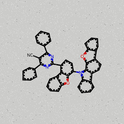 N#Cc1c(-c2ccccc2)nc(-c2ccc(-n3c4ccccc4c4ccc5c6ccccc6oc5c43)c3oc4ccccc4c23)nc1-c1ccccc1